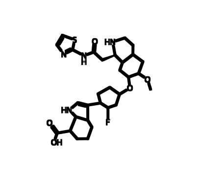 COC1CC2CCN[C@H](CC(=O)Nc3nccs3)C2CC1OC1CCC(C2=CNC3C(C(=O)O)CCCC23)C(F)C1